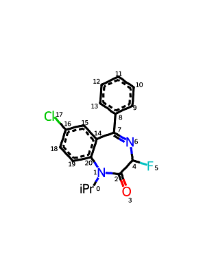 CC(C)N1C(=O)C(F)N=C(c2ccccc2)c2cc(Cl)ccc21